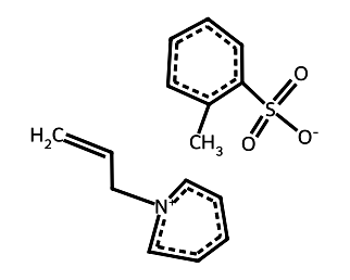 C=CC[n+]1ccccc1.Cc1ccccc1S(=O)(=O)[O-]